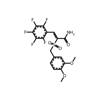 COc1ccc(CS(=O)(=O)/C(=C\c2c(F)c(F)c(F)c(F)c2F)C(N)=O)cc1OC